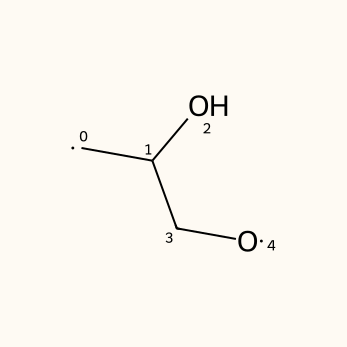 [CH2]C(O)C[O]